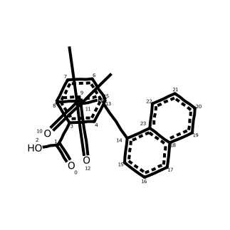 O=C(O)c1cc2ccc1c(=O)c(=O)n2-c1cccc2ccccc12